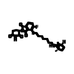 CC1(C)[C@@H]2CC[C@@]1(C)[C@@H](NCCCCCCCSc1c(F)ccc3c1C(=O)N(C1CCC(=O)NC1=O)C3=O)C2